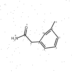 Cc1[c]ccc(CC(N)=O)c1